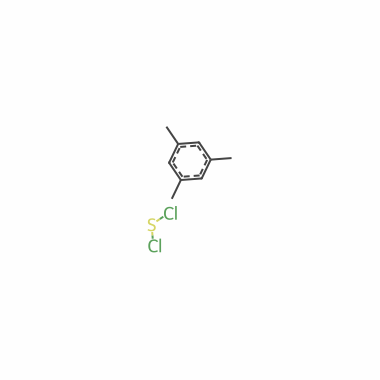 Cc1cc(C)cc(C)c1.ClSCl